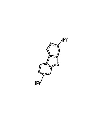 CC(C)c1ccc2c(c1)sc1cc(C(C)C)ccc12